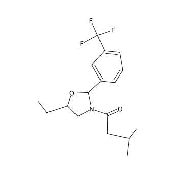 CCC1CN(C(=O)CC(C)C)C(c2cccc(C(F)(F)F)c2)O1